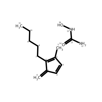 C=C1C=CC(C)=C1CCCCC.NC(=O)NO